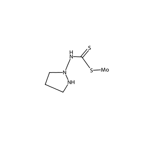 S=C(NN1CCCN1)[S][Mo]